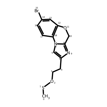 CSOCCc1cn2c(n1)COc1cc(Br)ccc1-2